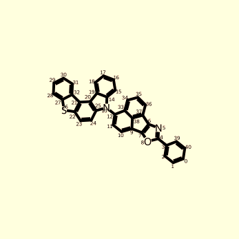 c1ccc(-c2nc3c(o2)-c2ccc(-n4c5ccccc5c5c6c(ccc54)sc4ccccc46)c4cccc-3c24)cc1